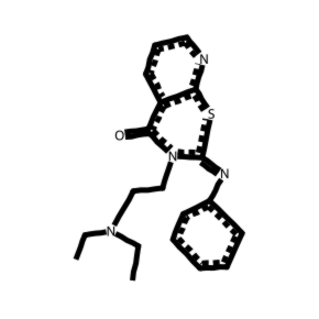 CCN(CC)CCn1c(=Nc2ccccc2)sc2ncccc2c1=O